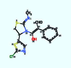 C/N=C1\SCC(c2cnc(Cl)s2)N1/C(O)=C(\C=O)c1ccccc1